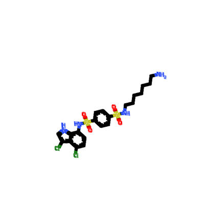 NCCCCCCCNS(=O)(=O)c1ccc(S(=O)(=O)Nc2ccc(Cl)c3c(Cl)c[nH]c23)cc1